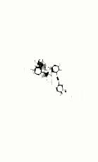 O=C(O)c1ccc(C#Cc2ccccc2NS(=O)(=O)c2ccc(Cl)c3nonc23)cn1